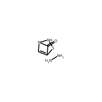 NN.O=C1C2=CN1NS2